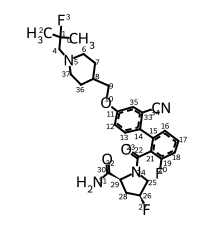 CC(C)(F)CN1CCC(COc2ccc(-c3cccc(F)c3C(=O)N3C[C@@H](F)C[C@H]3C(N)=O)c(C#N)c2)CC1